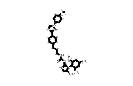 Cc1cc(C)c(-n2c(C)cs/c2=N\C(=O)NCCCc2ccc(-c3ncn(-c4ccc(OC(F)(F)F)cc4)n3)cc2)c(C)c1